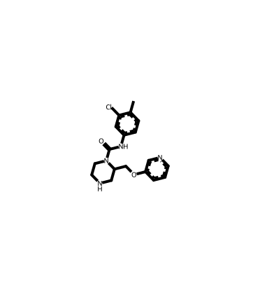 Cc1ccc(NC(=O)N2CCNCC2COc2cccnc2)cc1Cl